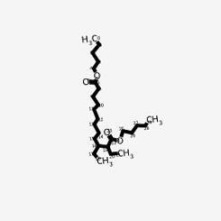 CCCCCOC(=O)CCCCCCCCC(CC)C(CC)C(=O)OCCCCC